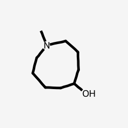 CN1CCCCC(O)CCC1